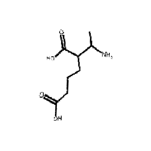 CC(N)C(CCCC(=O)O)C(=O)O